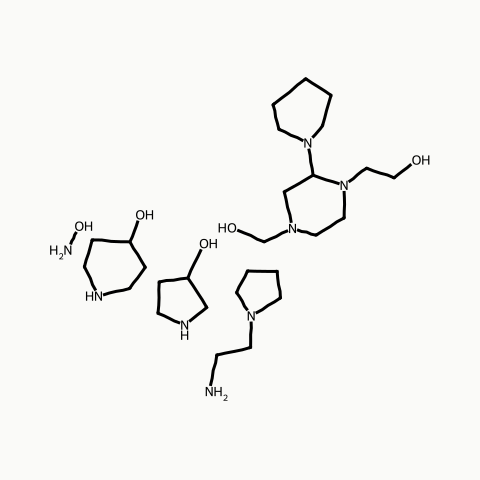 NCCN1CCCC1.NO.OC1CCNC1.OC1CCNCC1.OCCN1CCN(CO)CC1N1CCCCC1